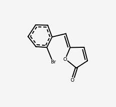 O=C1C=CC(=Cc2ccccc2Br)O1